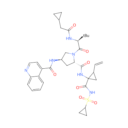 C=CC1CC1(NC(=O)[C@@H]1C[C@@H](NC(=O)c2ccnc3ccccc23)CN1C(=O)[C@@H](NC(=O)CC1CC1)C(C)(C)C)C(=O)NS(=O)(=O)C1CC1